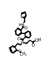 COc1ccccc1CCN(CCC(=O)O)C(=O)c1ccccc1-c1ccccc1C(=O)NCc1cccs1